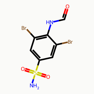 NS(=O)(=O)c1cc(Br)c(NC=O)c(Br)c1